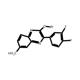 CC(C)Oc1nc2ccc(C(=O)O)cc2nc1-c1ccc(F)c(F)c1